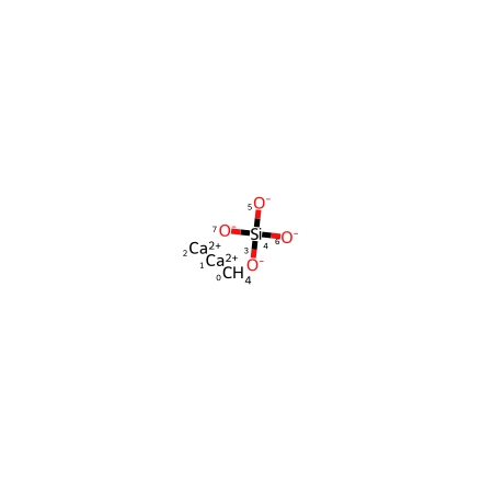 C.[Ca+2].[Ca+2].[O-][Si]([O-])([O-])[O-]